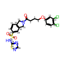 O=C(CCCOc1ccc(Cl)c(Cl)c1)N1Cc2ccc(S(=O)(=O)Nc3ncns3)cc2C1